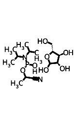 CC(C#N)OP(O)N(C(C)C)C(C)C.OC[C@H]1OC(O)[C@H](O)[C@@H]1O